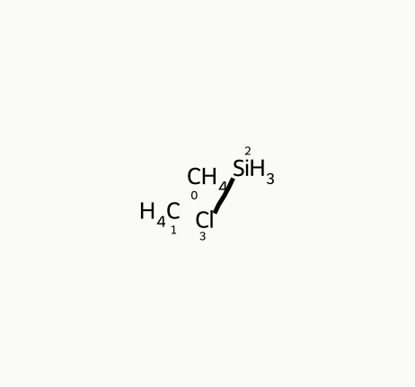 C.C.[SiH3]Cl